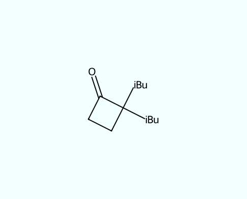 CCC(C)C1(C(C)CC)CCC1=O